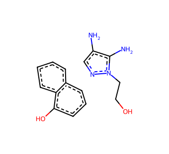 Nc1cnn(CCO)c1N.Oc1cccc2ccccc12